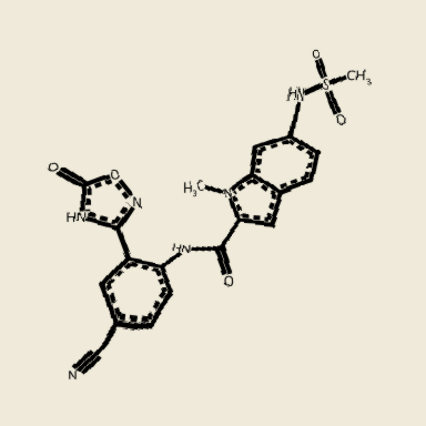 Cn1c(C(=O)Nc2ccc(C#N)cc2-c2noc(=O)[nH]2)cc2ccc(NS(C)(=O)=O)cc21